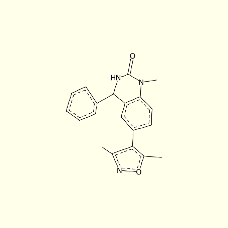 Cc1noc(C)c1-c1ccc2c(c1)C(c1ccccc1)NC(=O)N2C